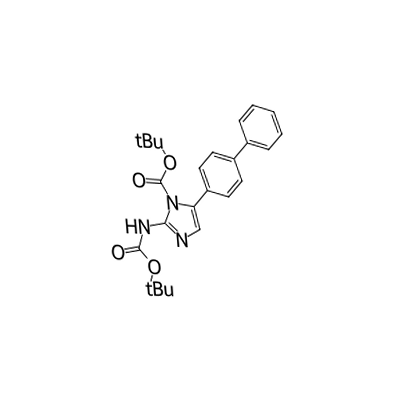 CC(C)(C)OC(=O)Nc1ncc(-c2ccc(-c3ccccc3)cc2)n1C(=O)OC(C)(C)C